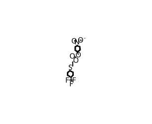 O=C(OCCSc1ccc(C(F)(F)F)cc1)Oc1ccc([N+](=O)[O-])cc1